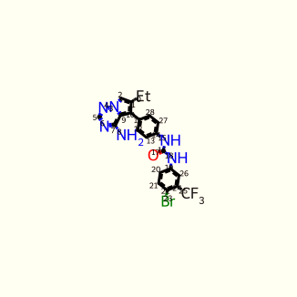 [CH2]Cc1cn2ncnc(N)c2c1-c1ccc(NC(=O)Nc2ccc(Br)c(C(F)(F)F)c2)cc1